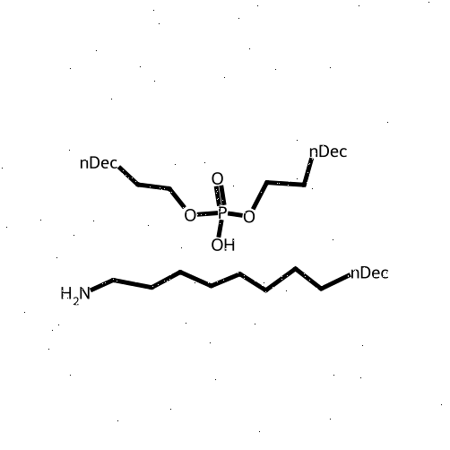 CCCCCCCCCCCCCCCCCCN.CCCCCCCCCCCCOP(=O)(O)OCCCCCCCCCCCC